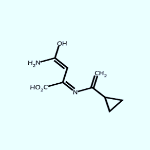 C=C(/N=C(\C=C(/N)O)C(=O)O)C1CC1